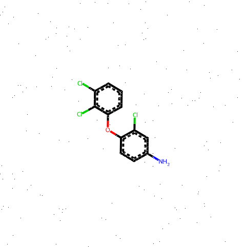 Nc1ccc(Oc2cccc(Cl)c2Cl)c(Cl)c1